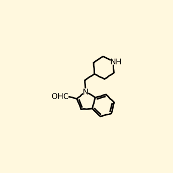 O=Cc1cc2ccccc2n1CC1CCNCC1